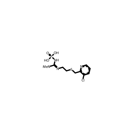 CN/C(=N/CCSCc1ncccc1Cl)NP(=O)(O)O